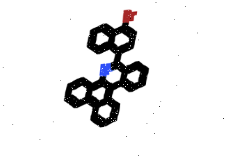 Brc1ccc(-c2nc3c4ccccc4c4ccccc4c3c3ccccc23)c2ccccc12